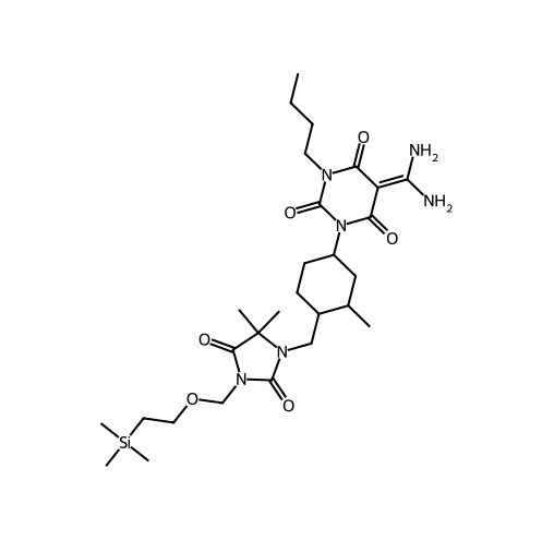 CCCCN1C(=O)C(=C(N)N)C(=O)N(C2CCC(CN3C(=O)N(COCC[Si](C)(C)C)C(=O)C3(C)C)C(C)C2)C1=O